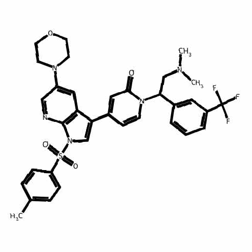 Cc1ccc(S(=O)(=O)n2cc(-c3ccn(C(CN(C)C)c4cccc(C(F)(F)F)c4)c(=O)c3)c3cc(N4CCOCC4)cnc32)cc1